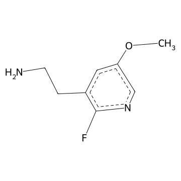 COc1cnc(F)c(CCN)c1